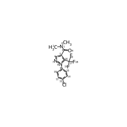 CN(C)C(=O)c1cnn(-c2ccc(Cl)cc2)c1C(F)(F)F